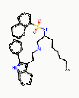 CC(=O)CCCCCC(CNCCc1c(-c2ccccc2)[nH]c2ccccc12)NS(=O)(=O)c1cccc2ccccc12